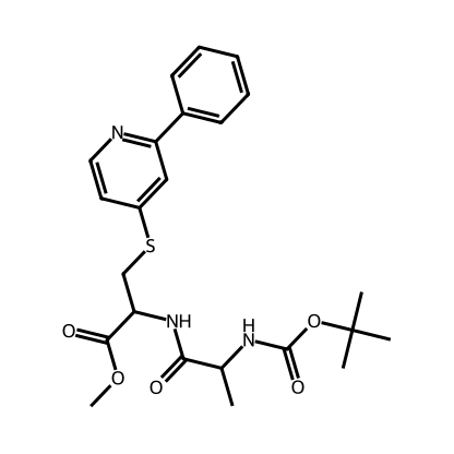 COC(=O)C(CSc1ccnc(-c2ccccc2)c1)NC(=O)C(C)NC(=O)OC(C)(C)C